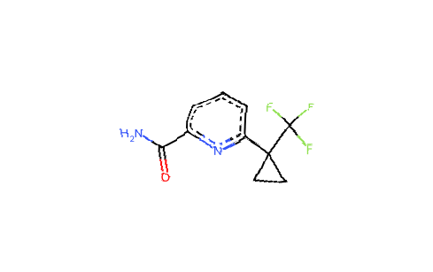 NC(=O)c1cccc(C2(C(F)(F)F)CC2)n1